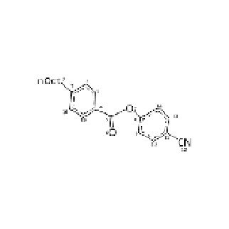 CCCCCCCCc1ccc(C(=O)Oc2ccc(C#N)cc2)cc1